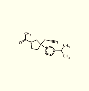 CC(=O)N1CCC(CC#N)(n2cc(C(C)C)cn2)C1